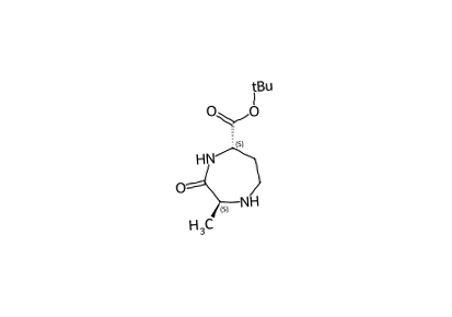 C[C@@H]1NCC[C@@H](C(=O)OC(C)(C)C)NC1=O